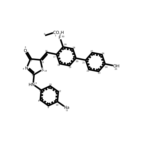 CC(=O)O.O=C1N=C(Nc2cc[c]([Na])cc2)SC1=Cc1ccc(-c2ccc(O)cc2)cc1F